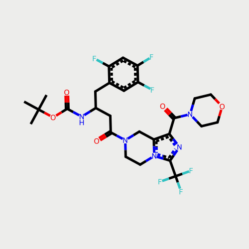 CC(C)(C)OC(=O)NC(CC(=O)N1CCn2c(C(F)(F)F)nc(C(=O)N3CCOCC3)c2C1)Cc1cc(F)c(F)cc1F